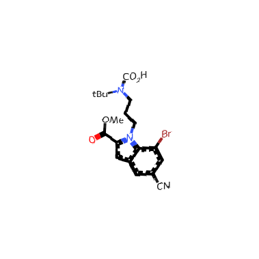 COC(=O)c1cc2cc(C#N)cc(Br)c2n1CCCN(C(=O)O)C(C)(C)C